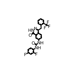 O=C(Nc1ccc2c(Cc3ccccc3C(F)(F)F)n[nH]c(=O)c2c1)Nc1ccc(F)cc1F